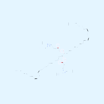 CCCCC/C=C\C/C=C\CCCCCCCCC(OCC(=O)CCN(C)C)C(CCCCCCCC/C=C\C/C=C\CCCCC)OC(=O)CCN(C)C